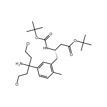 Cc1ccc(C(N)(CCCl)CCCl)cc1C[C@@H](CC(=O)OC(C)(C)C)NC(=O)OC(C)(C)C